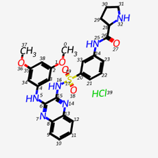 COc1cc(Nc2nc3ccccc3nc2NS(=O)(=O)c2cccc(NC(=O)C3CCCN3)c2)cc(OC)c1.Cl